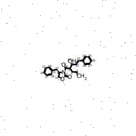 C=CCC(C(=O)N1C(=O)OC[C@H]1Cc1ccccc1)C(O)/C=C/c1ccccc1